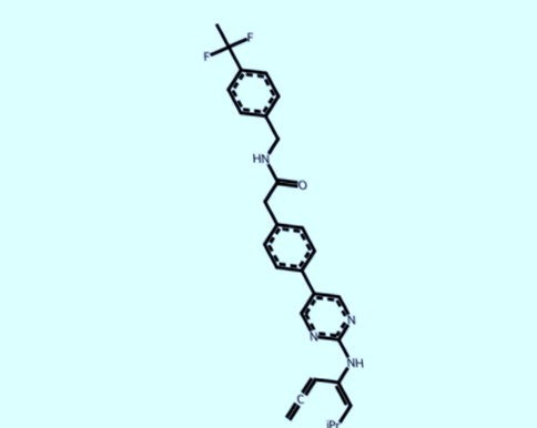 C=C=C/C(=C\C(C)C)Nc1ncc(-c2ccc(CC(=O)NCc3ccc(C(C)(F)F)cc3)cc2)cn1